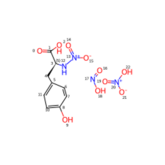 O=C(O)[C@H](Cc1ccc(O)cc1)N[N+](=O)[O-].O=NO.O=[N+]([O-])O